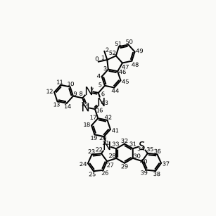 CC1(C)c2cc(-c3nc(-c4ccccc4)nc(-c4ccc(-n5c6ccccc6c6cc7c(cc65)sc5ccccc57)cc4)n3)ccc2C2C=CC=CC21